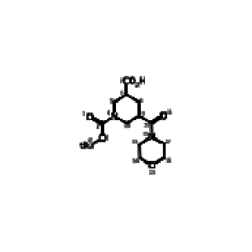 CC(C)(C)OC(=O)N1CC(C(=O)O)CC(C(=O)N2CCOCC2)C1